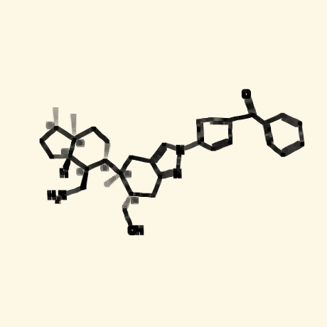 C[C@H]1CC[C@H]2[C@H](CN)[C@@H]([C@@]3(C)Cc4cn(-c5ccc(C(=O)c6ccccc6)cc5)nc4C[C@@H]3CO)CC[C@]12C